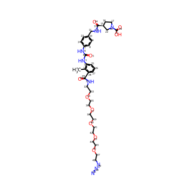 Cc1c(NC(=O)Nc2ccc(CNC(=O)[C@H]3CCN(C(=O)O)C3)cc2)cccc1C(=O)NCCOCCOCCOCCOCCOCCN=[N+]=[N-]